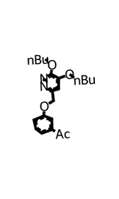 CCCCOc1cc(COc2cccc(C(C)=O)c2)nnc1OCCCC